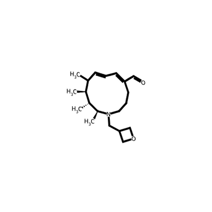 CC1/C=C/C=C(/C=O)CCCN(CC2COC2)[C@@H](C)[C@H](C)[C@H]1C